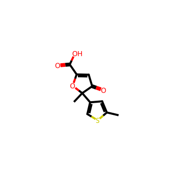 Cc1cc(C2(C)OC(C(=O)O)=CC2=O)cs1